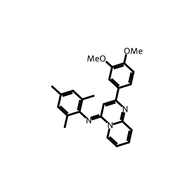 COc1ccc(-c2cc(=Nc3c(C)cc(C)cc3C)n3ccccc3n2)cc1OC